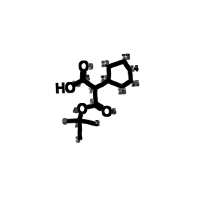 CC(C)(C)OC(=O)C(C(=O)O)C1CCCCC1